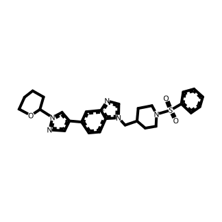 O=S(=O)(c1ccccc1)N1CCC(Cn2cnc3cc(-c4cnn(C5CCCCO5)c4)ccc32)CC1